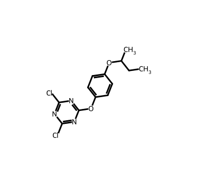 CCC(C)Oc1ccc(Oc2nc(Cl)nc(Cl)n2)cc1